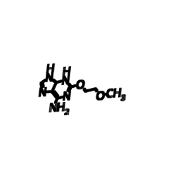 COCCOC1=NC(N)=C2N=CNC2N1